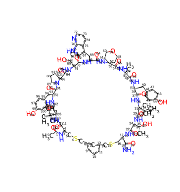 CC(=O)N[C@H]1CSCc2cccc(c2)CSC[C@H](C(N)=O)NC(=O)[C@H]([C@@H](C)O)NC(=O)[C@](C)(C(C)C)NC(=O)[C@H](Cc2ccc(O)cc2)NC(=O)[C@H](C)NC(=O)C2(CCOCC2)NC(=O)[C@H](Cc2c[nH]c3ncccc23)NC(=O)[C@H]([C@@H](C)O)NC(=O)[C@@H]2CCCN2C(=O)[C@H](Cc2ccc(O)cc2)NC(=O)C(C(C)(C)C)NC1=O